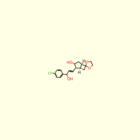 OC(C=CC1C(O)C[C@H]2[C@H]1CC21OCCO1)c1ccc(Cl)cc1